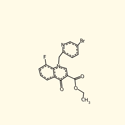 CCOC(=O)c1cn(Cc2ccc(Br)cn2)c2c(F)cccc2c1=O